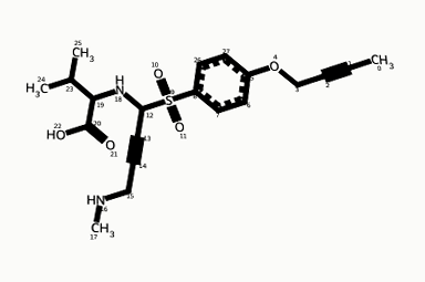 CC#CCOc1ccc(S(=O)(=O)C(C#CCNC)NC(C(=O)O)C(C)C)cc1